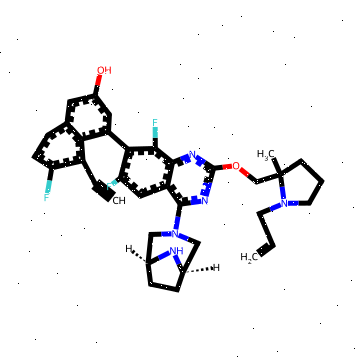 C#Cc1c(F)ccc2cc(O)cc(-c3c(F)cc4c(N5C[C@H]6CC[C@@H](C5)N6)nc(OCC5(C)CCCN5CC=C)nc4c3F)c12